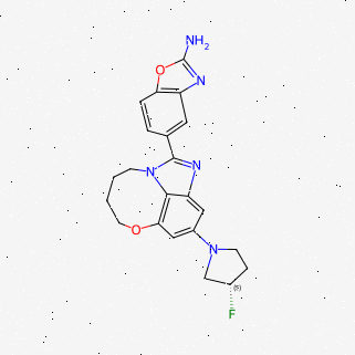 Nc1nc2cc(-c3nc4cc(N5CC[C@H](F)C5)cc5c4n3CCCCO5)ccc2o1